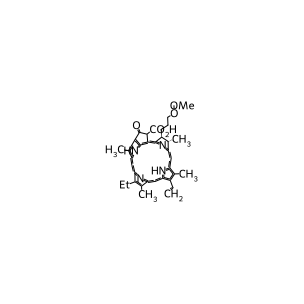 C=Cc1c(C)c2cc3nc(c4c5[nH]c(cc6nc(cc1[nH]2)C(C)=C6CC)c(C)c5C(=O)C4C(=O)O)[C@@H](CCCOOC)[C@@H]3C